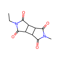 CCN1C(=O)C2C3C(=O)N(C)C(=O)C3C2C1=O